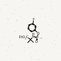 CCOC(=O)C(C)(C)N[P@](C)(=O)Oc1cccc(F)c1